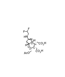 CC(=O)OC[C@@H]1O[C@@H]2SC(NCC(F)F)=N[C@@H]2[C@H](CC(=O)O)[C@@H]1CC(=O)O